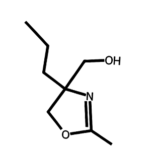 CCCC1(CO)COC(C)=N1